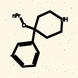 CCCOC1(c2c[c]ccc2)CCNCC1